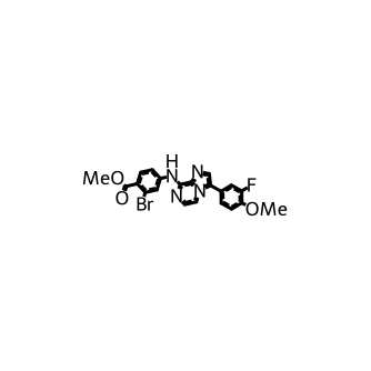 COC(=O)c1ccc(Nc2nccn3c(-c4ccc(OC)c(F)c4)cnc23)cc1Br